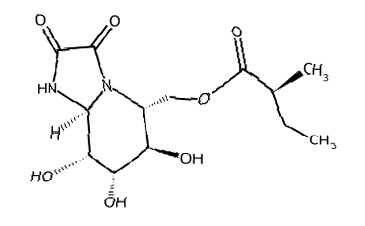 CC[C@H](C)C(=O)OC[C@@H]1[C@@H](O)[C@H](O)[C@H](O)[C@H]2NC(=O)C(=O)N12